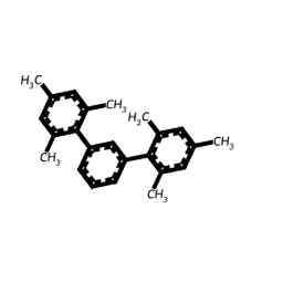 Cc1cc(C)c(-c2c[c]cc(-c3c(C)cc(C)cc3C)c2)c(C)c1